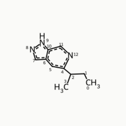 CCC(C)c1cc2cn[nH]c2cn1